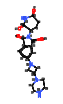 O=C1CCC(N2C(=O)c3ccc(N4CC(N5CCNCC5)C4)cc3C2=O)C(=O)N1